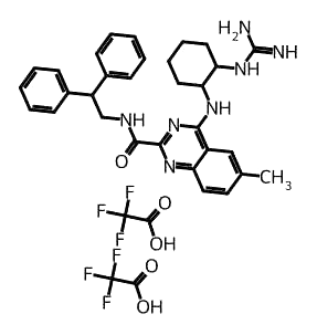 Cc1ccc2nc(C(=O)NCC(c3ccccc3)c3ccccc3)nc(NC3CCCCC3NC(=N)N)c2c1.O=C(O)C(F)(F)F.O=C(O)C(F)(F)F